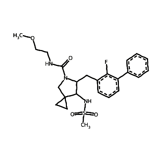 COCCNC(=O)N1CC2(CC2)C(NS(C)(=O)=O)C1Cc1cccc(-c2ccccc2)c1F